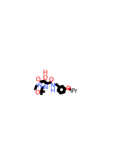 CC(C)Oc1cccc(CNC(=O)c2nc3n(c(=O)c2O)CCOC3(C)C)c1